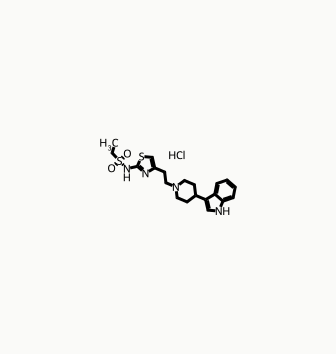 CCS(=O)(=O)Nc1nc(CCN2CCC(c3c[nH]c4ccccc34)CC2)cs1.Cl